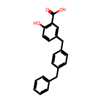 O=C(O)c1cc(Cc2ccc(Cc3ccccc3)cc2)ccc1O